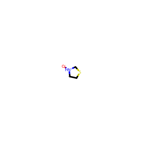 [O-][NH+]1[CH]CSC1